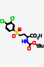 CC(C)(C)OC(=O)NC(CCS(=O)(=O)c1ccc(Cl)c(Cl)c1)C(=O)O